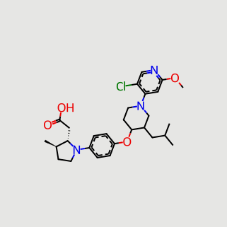 COc1cc(N2CCC(Oc3ccc(N4CC[C@@H](C)[C@@H]4CC(=O)O)cc3)C(CC(C)C)C2)c(Cl)cn1